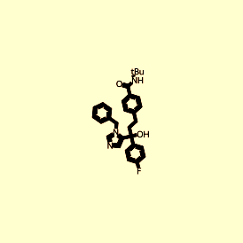 CC(C)(C)NC(=O)c1ccc(CCC(O)(c2ccc(F)cc2)c2cncn2Cc2ccccc2)cc1